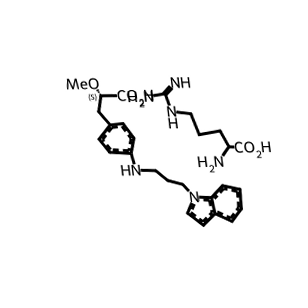 CO[C@@H](Cc1ccc(NCCCn2ccc3ccccc32)cc1)C(=O)O.N=C(N)NCCCC(N)C(=O)O